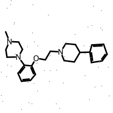 CN1CCN(c2ccccc2OCCN2CCC(c3ccccc3)CC2)CC1